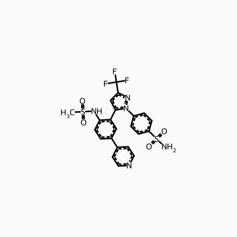 CS(=O)(=O)Nc1ccc(-c2ccncc2)cc1-c1cc(C(F)(F)F)nn1-c1ccc(S(N)(=O)=O)cc1